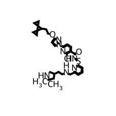 CC1(C)CC(CCNCc2cccc(SNC(=O)c3ccc(-n4ccc(OCCC5C6(CC6)C56CC6)n4)nc3Cl)n2)CN1